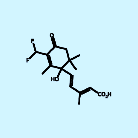 CC(C=CC1(O)C(C)=C(C(F)F)C(=O)CC1(C)C)=CC(=O)O